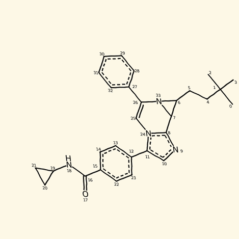 CC(C)(C)CCC1C2c3ncc(-c4ccc(C(=O)NC5CC5)cc4)n3C=C(c3ccccc3)N12